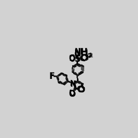 NS(=O)(=O)c1ccc(-c2coc(=O)n2-c2ccc(F)cc2)cc1